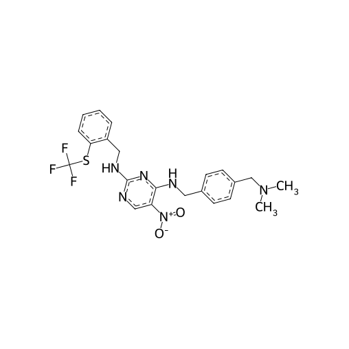 CN(C)Cc1ccc(CNc2nc(NCc3ccccc3SC(F)(F)F)ncc2[N+](=O)[O-])cc1